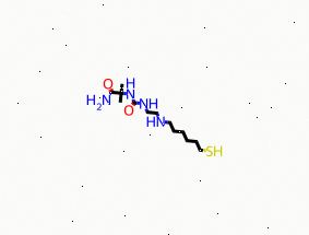 CC(C)(NC(=O)NCCNCCCCCCS)C(N)=O